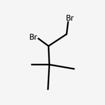 CC(C)(C)C(Br)CBr